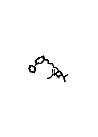 CCBn1nc(C(C)C)cc1CCCCCc1cccc(-c2ccccc2)c1